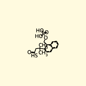 CC(C)(CC(=O)S)c1ccc2ccccc2c1COP(=O)(O)O